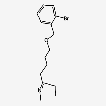 CC/C(CCCCOCc1ccccc1Br)=N\C